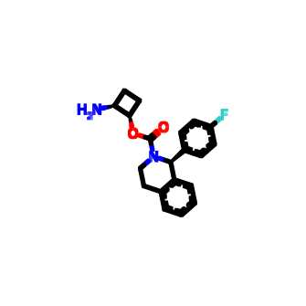 N[C@H]1CC[C@H]1OC(=O)N1CCc2ccccc2[C@@H]1c1ccc(F)cc1